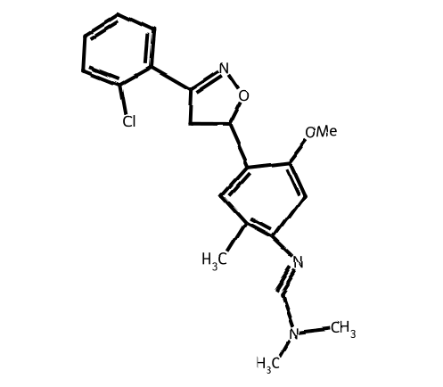 COc1cc(N=CN(C)C)c(C)cc1C1CC(c2ccccc2Cl)=NO1